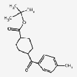 Cc1ccc(C(=O)C2CCC(C(=O)OC(C)(C)C)CC2)cc1